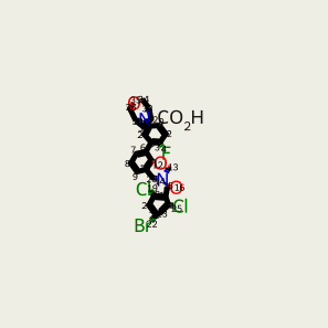 O=C(O)c1cc(F)c(-c2cccc3c2OCN(C(=O)c2c(Cl)cc(Br)cc2Cl)C3)cc1N1C2CCC1COC2